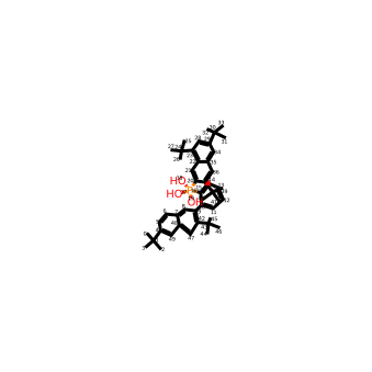 CC(C)(C)c1ccc2cc(-c3ccccc3P(O)(O)(O)c3cc4c(C(C)(C)C)cc(C(C)(C)C)cc4cc3C(C)(C)C)c(C(C)(C)C)cc2c1